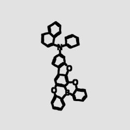 c1ccc(N(c2ccc3c(c2)oc2c4c5c(cc23)Oc2ccccc2B5c2ccccc2O4)c2cccc3ccccc23)cc1